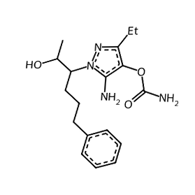 CCc1nn(C(CCCc2ccccc2)C(C)O)c(N)c1OC(N)=O